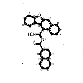 N=C(/N=C(\N)c1c2ccccc2cc2oc3ccccc3c12)c1ccc2ccccc2c1